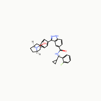 O=C(N[C@@H](c1ccccc1F)C1CC1)c1ccc2[nH]nc(-c3ccc(N4[C@@H]5CC[C@H]4C[C@@H](O)C5)cc3)c2c1